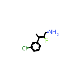 C/C(=C(/F)CN)c1cccc(Cl)c1